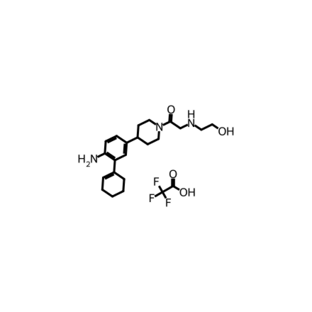 Nc1ccc(C2CCN(C(=O)CNCCO)CC2)cc1C1=CCCCC1.O=C(O)C(F)(F)F